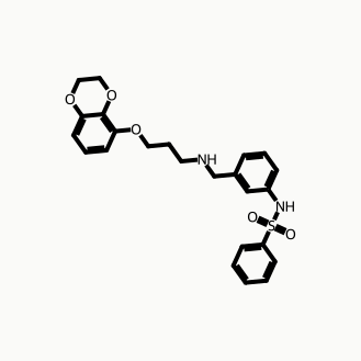 O=S(=O)(Nc1cccc(CNCCCOc2cccc3c2OCCO3)c1)c1ccccc1